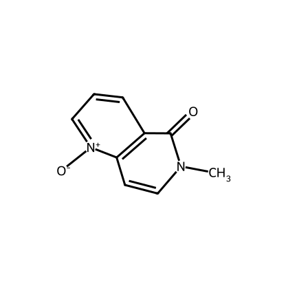 Cn1ccc2c(ccc[n+]2[O-])c1=O